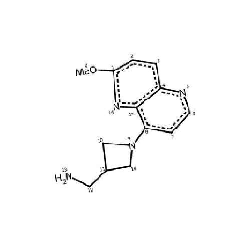 COc1ccc2nccc(N3CC(CN)C3)c2n1